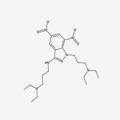 CCN(CC)CCCNc1nn(CCCN(CC)CC)c2c([N+](=O)[O-])cc([N+](=O)[O-])cc12